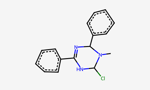 CN1C(Cl)NC(c2ccccc2)=NC1c1ccccc1